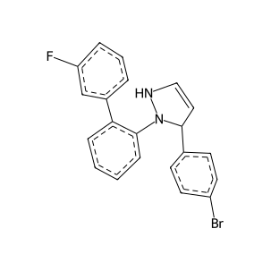 Fc1cccc(-c2ccccc2N2NC=CC2c2ccc(Br)cc2)c1